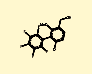 COc1c(CO)ccc([O])c1-c1c(F)c(F)c(F)c(F)c1F